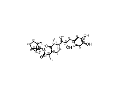 CCN(C(=O)[C@H](C)NC(=O)[C@@H](O)Cc1ccc(O)c(O)c1)[C@@H](C)C(=O)OC1CC2CCC1(C)C2(C)C